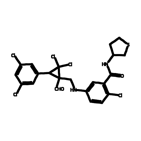 O=CC1(CNc2ccc(Cl)c(C(=O)NC3CCSC3)c2)C(c2cc(Cl)cc(Cl)c2)C1(Cl)Cl